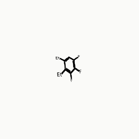 CCc1cc(F)c(F)c(F)c1CC